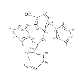 CCc1[c]cc(-c2ccccc2)c(OCc2ccccc2)c1-c1ccccc1